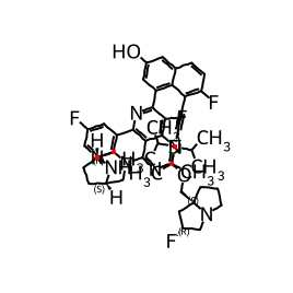 CC(C)[Si](C#Cc1c(F)ccc2cc(O)cc(-c3nc(-c4cncc(F)c4)c4c(N5C[C@H]6CC[C@@H](C5)N6)nc(OC[C@@]56CCCN5C[C@H](F)C6)nc4c3F)c12)(C(C)C)C(C)C